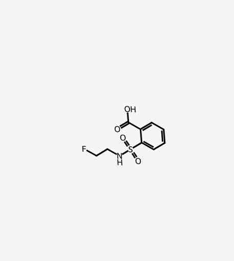 O=C(O)c1ccccc1S(=O)(=O)NCCF